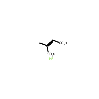 C/C(=C/C(=O)O)C(=O)O.F